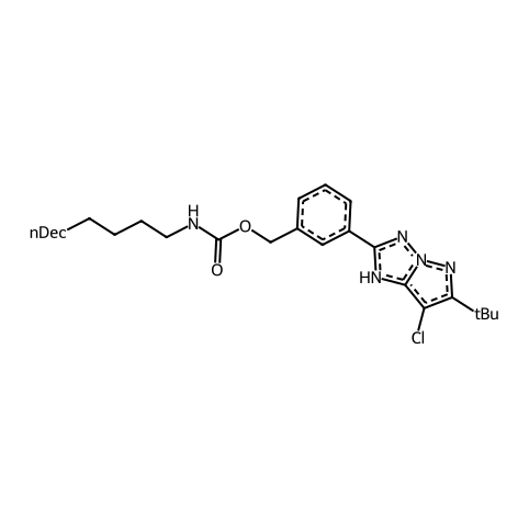 CCCCCCCCCCCCCCNC(=O)OCc1cccc(-c2nn3nc(C(C)(C)C)c(Cl)c3[nH]2)c1